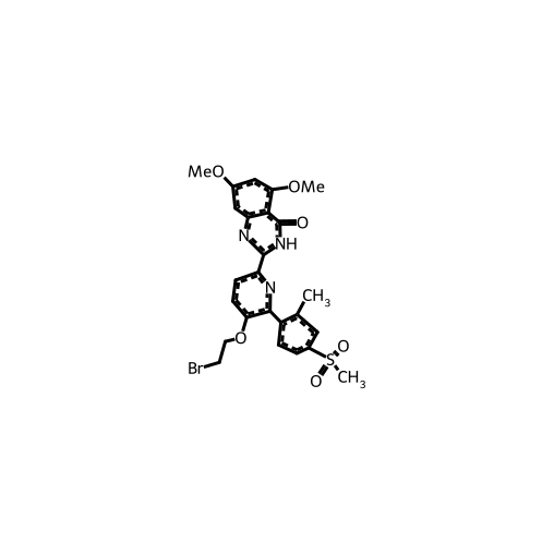 COc1cc(OC)c2c(=O)[nH]c(-c3ccc(OCCBr)c(-c4ccc(S(C)(=O)=O)cc4C)n3)nc2c1